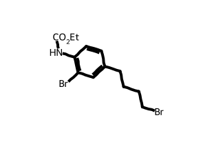 CCOC(=O)Nc1ccc(CCCCBr)cc1Br